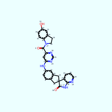 O=C(c1cc(Nc2ccc3c(c2)CC2(C3)C(=O)Nc3ncccc32)ncn1)N1CCc2cc(O)ccc21